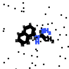 C=C(N)Nc1cccc2ccccc12